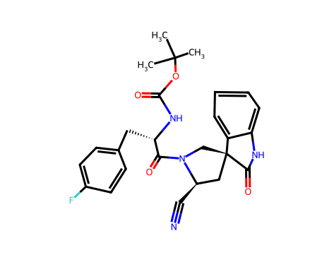 CC(C)(C)OC(=O)N[C@@H](Cc1ccc(F)cc1)C(=O)N1C[C@]2(C[C@H]1C#N)C(=O)Nc1ccccc12